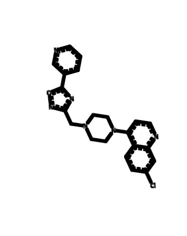 Clc1ccc2c(N3CCN(Cc4noc(-c5cccnc5)n4)CC3)ccnc2c1